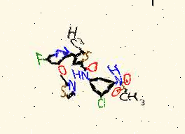 CCS(=O)(=O)Nc1cc(Cl)cc(NC(=O)c2cc(-c3ncc(F)cc3OCc3nccs3)c(C)s2)c1